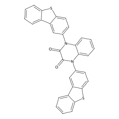 O=c1c(=O)n(-c2ccc3sc4ccccc4c3c2)c2ccccc2n1-c1ccc2sc3ccccc3c2c1